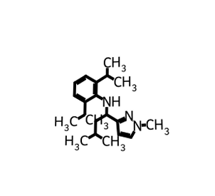 CC(C)CC(Nc1c(C(C)C)cccc1C(C)C)c1ccn(C)n1